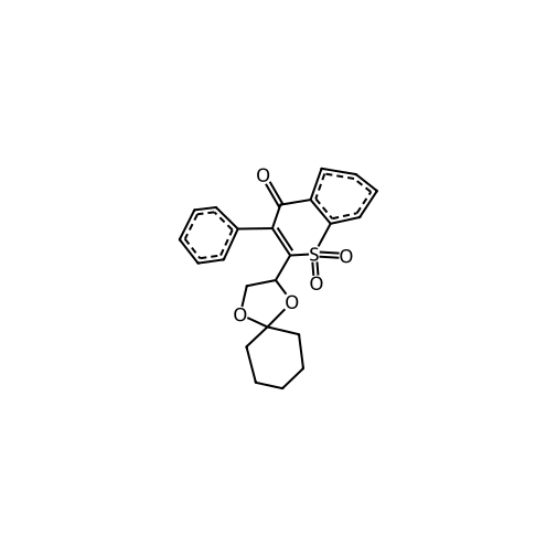 O=C1C(c2ccccc2)=C(C2COC3(CCCCC3)O2)S(=O)(=O)c2ccccc21